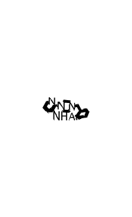 CC(=O)Nc1cccnc1N1CCN(Cc2ccccc2)CC1